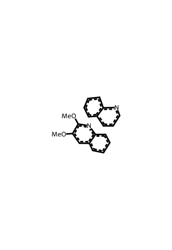 COc1cc2ccccc2nc1OC.c1ccc2ncccc2c1